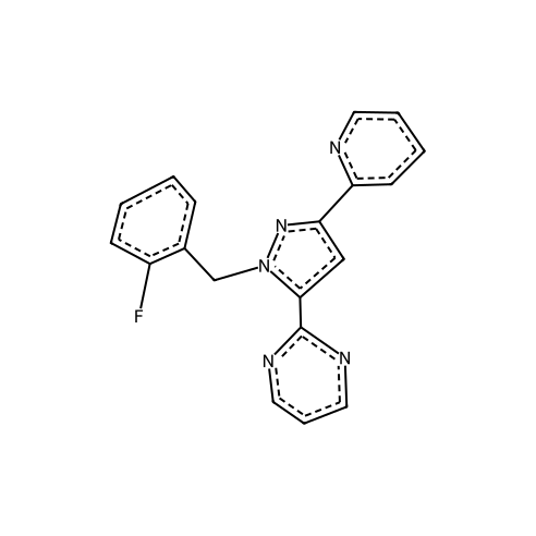 Fc1ccccc1Cn1nc(-c2ccccn2)cc1-c1ncccn1